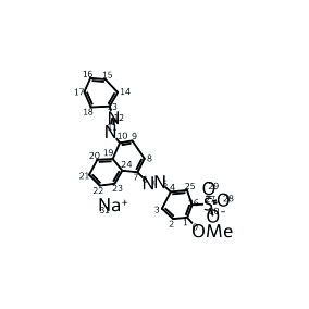 COc1ccc(N=Nc2ccc(N=Nc3ccccc3)c3ccccc23)cc1S(=O)(=O)[O-].[Na+]